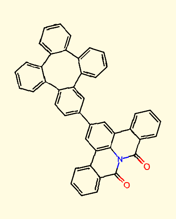 O=c1c2ccccc2c2cc(-c3ccc4c(c3)-c3ccccc3-c3ccccc3-c3ccccc3-4)cc3c4ccccc4c(=O)n1c23